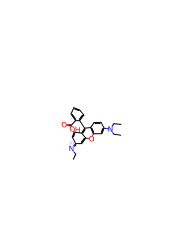 CC/N=c1/ccc2c(-c3ccccc3C(=O)O)c3ccc(N(CC)CC)cc3oc-2c1